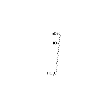 CCCCCCCCCCCCCC(O)CCCCCCCCCCCC(=O)O